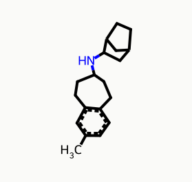 Cc1ccc2c(c1)CCC(NC1CC3CCC1C3)CC2